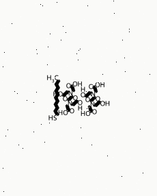 CCCCCCCCCCCCS.O=C(O)CN(CCN(CC(=O)O)CC(=O)O)CC(=O)O.O=C(O)CN(CCN(CC(=O)O)CC(=O)O)CC(=O)O